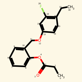 CCC(=O)Oc1ccccc1COc1ccc(CC)c(F)c1